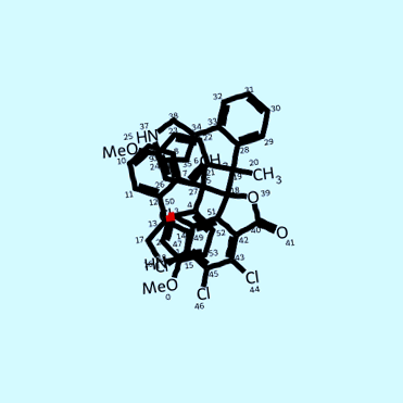 COc1ccc(C(C)(c2ccccc2C2CCNC2)C2(C(C)(c3ccc(OC)cc3)c3ccccc3C3CCNC3)OC(=O)c3c(Cl)c(Cl)c(Cl)c(Cl)c32)cc1